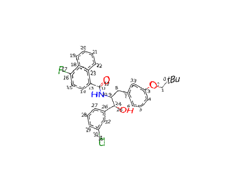 CC(C)(C)COc1cccc(CC(NC(=O)c2ccc(F)c3ccccc23)C(O)c2cccc(Cl)c2)c1